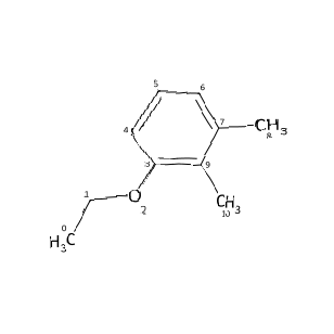 CCOc1[c]ccc(C)c1C